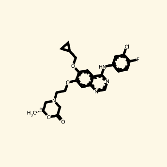 C[C@@H]1CN(CCOc2cc3ncnc(Nc4ccc(F)c(Cl)c4)c3cc2OCC2CC2)CC(=O)O1